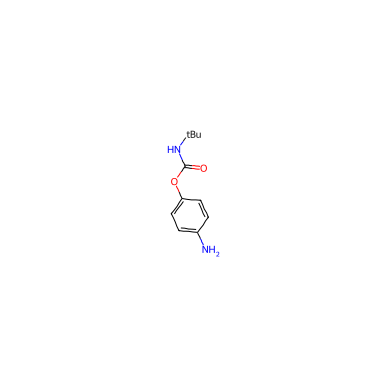 CC(C)(C)NC(=O)Oc1ccc(N)cc1